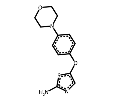 Nc1ncc(Oc2ccc(N3CCOCC3)cc2)s1